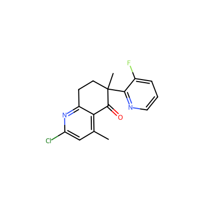 Cc1cc(Cl)nc2c1C(=O)C(C)(c1ncccc1F)CC2